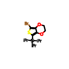 CC(C)[Si](c1sc(Br)c2c1OCCO2)(C(C)C)C(C)C